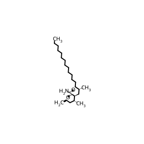 C=CC[C@@H](C)[C@H](C[C@@H](C)CCCCCCCCCCCCCC)S(N)(=O)=O